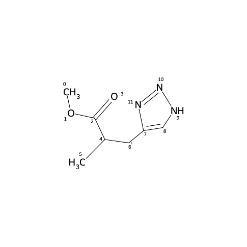 COC(=O)C(C)[CH]c1c[nH]nn1